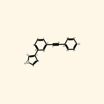 C(#Cc1cccc(-c2ccoc2)c1)c1ccccc1